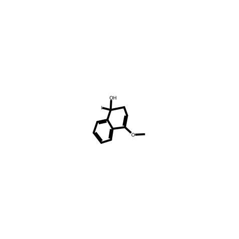 COC1=CCC(O)(I)c2ccccc21